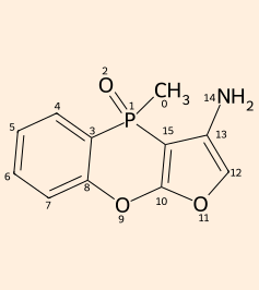 CP1(=O)c2ccccc2Oc2occ(N)c21